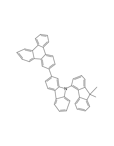 CC1(C)c2ccccc2-c2c(-n3c4ccccc4c4ccc(-c5ccc6c7ccccc7c7ccccc7c6c5)cc43)cccc21